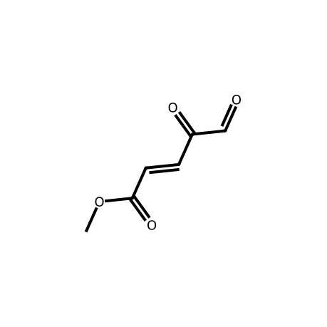 COC(=O)/C=C/C(=O)C=O